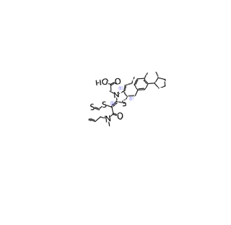 C=CCN(C)C(=O)/C(SC=S)=C1\SC(=C/c2ccc(C)c(C3CCCC3C)c2)/C(=C\CC)N1CC(=O)O